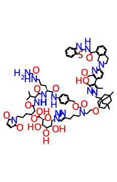 Cc1nn(CC23CC4(C)CC(C)(C2)CC(OCCN(CCCc2cn([C@@H]5O[C@H](C(=O)O)[C@@H](O)[C@H](O)[C@H]5O)nn2)C(=O)OCc2ccc(NC(=O)[C@H](CCCNC(N)=O)NC(=O)[C@@H](NC(=O)CCCCCN5C(=O)C=CC5=O)C(C)C)cc2)(C4)C3)c(C)c1-c1ccc(N2CCc3cccc(C(=O)Nc4nc5ccccc5s4)c3C2)nc1C(=O)O